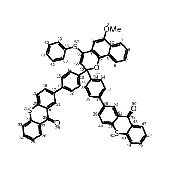 COc1cc2c(c3ccccc13)OC(c1ccc(-c3ccc4sc5ccccc5c(=O)c4c3)cc1)(c1ccc(-c3ccc4sc5ccccc5c(=O)c4c3)cc1)C=C2Sc1ccccc1